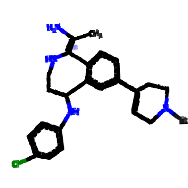 CCN1CC=C(c2ccc3c(c2)C(Nc2ccc(Cl)cc2)CCN/C3=C(/C)N)CC1